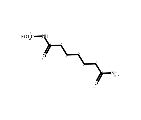 CCOC(=O)NC(=O)CCCCCC(N)=O